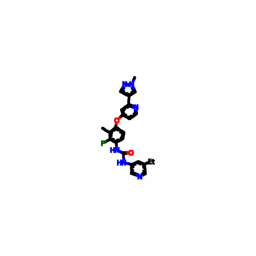 CCc1cncc(NC(=O)Nc2ccc(Oc3ccnc(-c4cnn(C)c4)c3)c(C)c2F)c1